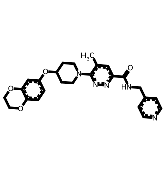 Cc1cc(C(=O)NCc2ccncc2)nnc1N1CCC(Oc2ccc3c(c2)OCCO3)CC1